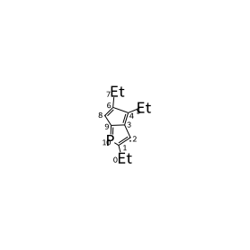 CCC1=[C]C2=C(CC)C(CC)=CC2=P1